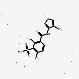 Cc1c(C(=O)Nc2nocc2C(F)(F)F)ccc(C(F)(F)F)c1S(C)(=O)=O